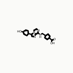 O=C(O)c1ccc(CNc2nccn3c(-c4ccc(O)cc4)cnc23)cc1